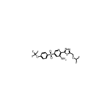 Nc1cc(S(=O)(=O)c2ccc(OC(F)(F)F)cc2)cnc1-c1nnc(COC(F)F)s1